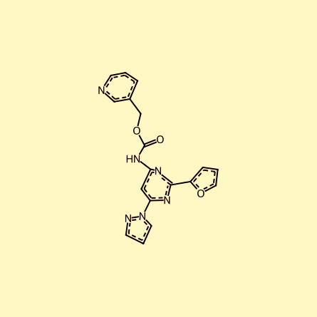 O=C(Nc1cc(-n2cccn2)nc(-c2ccco2)n1)OCc1cccnc1